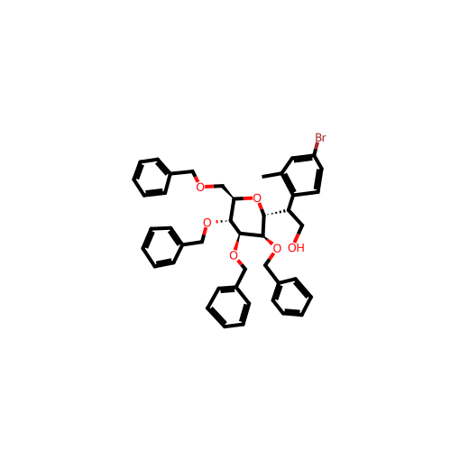 Cc1cc(Br)ccc1C(CO)[C@H]1O[C@H](COCc2ccccc2)[C@@H](OCc2ccccc2)[C@H](OCc2ccccc2)[C@@H]1OCc1ccccc1